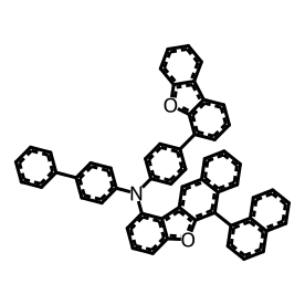 c1ccc(-c2ccc(N(c3ccc(-c4cccc5c4oc4ccccc45)cc3)c3cccc4oc5c(-c6cccc7ccccc67)c6ccccc6cc5c34)cc2)cc1